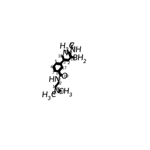 Bc1cc(-c2cccc(C(=O)NCCN(C)C)c2)cnc1NC